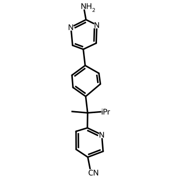 CC(C)C(C)(c1ccc(-c2cnc(N)nc2)cc1)c1ccc(C#N)cn1